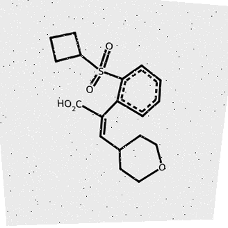 O=C(O)C(=CC1CCOCC1)c1ccccc1S(=O)(=O)C1CCC1